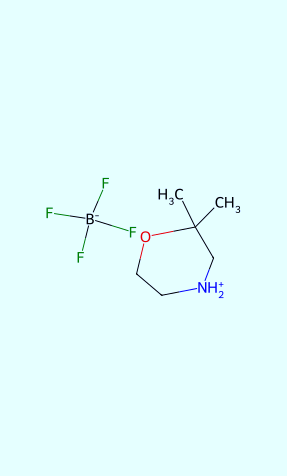 CC1(C)C[NH2+]CCO1.F[B-](F)(F)F